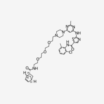 Cc1nc(Nc2ncc(C(=O)Nc3c(C)cccc3Cl)s2)cc(N2CCN(CCOCCOCCOCCNC(=O)[C@@H]3C[C@H]4C=C[C@H]3C4)CC2)n1